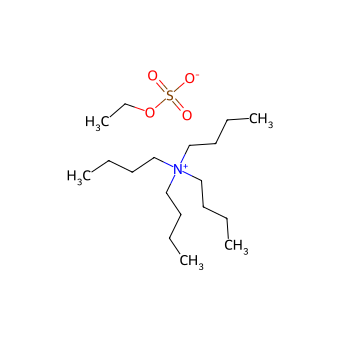 CCCC[N+](CCCC)(CCCC)CCCC.CCOS(=O)(=O)[O-]